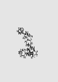 CC1CCc2nc(N3CCC(c4cc(-c5ccco5)nn4C)CC3)nc(NC3CCOCC3)c21